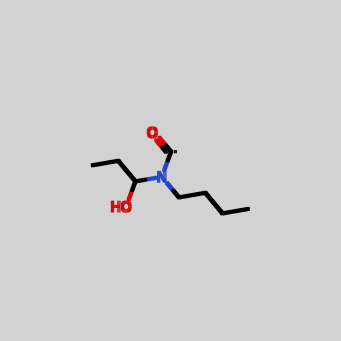 CCCCN([C]=O)C(O)CC